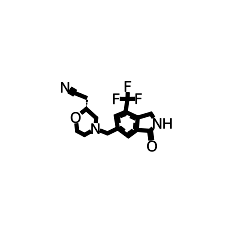 N#CC[C@@H]1CN(Cc2cc3c(c(C(F)(F)F)c2)CNC3=O)CCO1